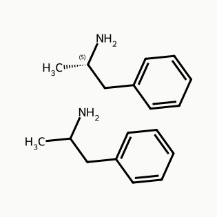 CC(N)Cc1ccccc1.C[C@H](N)Cc1ccccc1